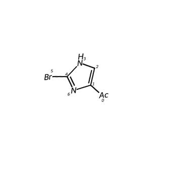 CC(=O)c1c[nH]c(Br)n1